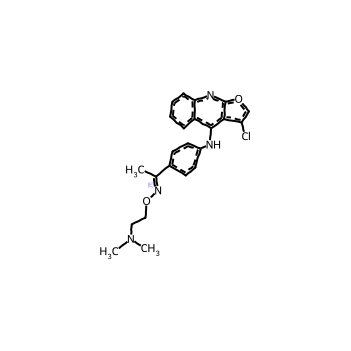 C/C(=N\OCCN(C)C)c1ccc(Nc2c3ccccc3nc3occ(Cl)c23)cc1